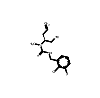 C=CC[C@@H](CO)N(C)C(=O)NCc1cccc(F)c1Cl